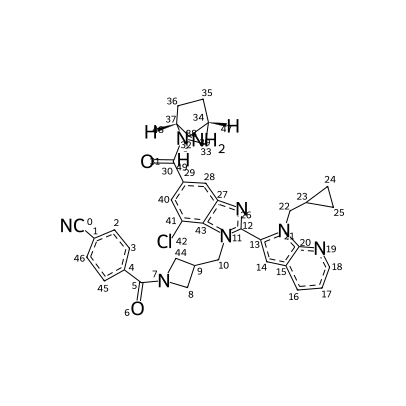 N#Cc1ccc(C(=O)N2CC(Cn3c(-c4cc5cccnc5n4CC4CC4)nc4cc(C(=O)N5C[C@H]6CC[C@@H]5[C@@H]6N)cc(Cl)c43)C2)cc1